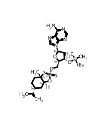 C=C(C)[C@@H]1CC[C@]2(C)S[P@@](=S)(OC[C@H]3O[C@@H](n4cnc5c(N)ncnc54)C[C@@H]3O[Si](C)(C)C(C)(C)C)O[C@H]2C1